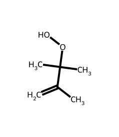 C=C(C)C(C)(C)OO